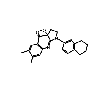 Cc1cc2c(cc1C)C(=O)C1(O)CCN(c3ccc4c(c3)CCCC4)C1=N2